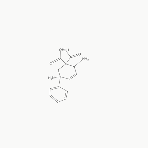 NC1C=CC(N)(c2ccccc2)CC1(C(=O)O)C(=O)O